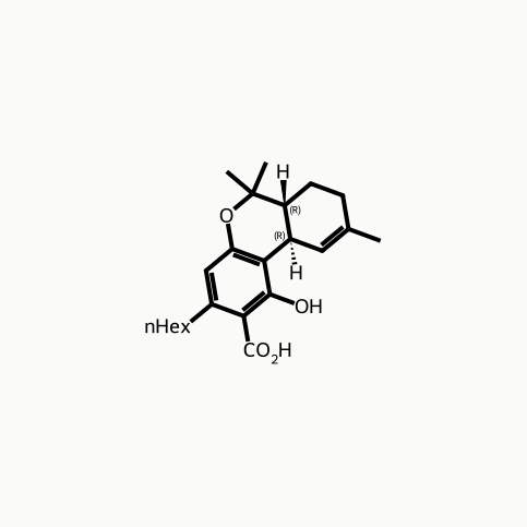 CCCCCCc1cc2c(c(O)c1C(=O)O)[C@@H]1C=C(C)CC[C@H]1C(C)(C)O2